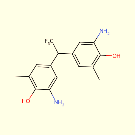 Cc1cc(C(c2cc(C)c(O)c(N)c2)C(F)(F)F)cc(N)c1O